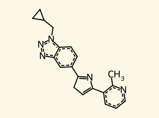 Cc1ncccc1C1=CCC(c2ccc3c(c2)nnn3CC2CC2)=N1